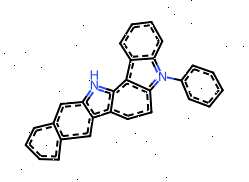 c1ccc(-n2c3ccccc3c3c4[nH]c5cc6ccccc6cc5c4ccc32)cc1